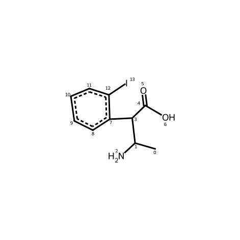 CC(N)C(C(=O)O)c1ccccc1I